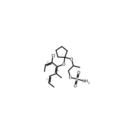 C\C=C/C(C)=C(OC1(OC(C)COS(N)(=O)=O)CCCC1)\C(Cl)=C/C